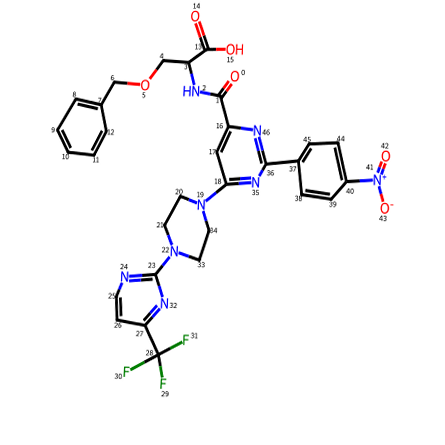 O=C(NC(COCc1ccccc1)C(=O)O)c1cc(N2CCN(c3nccc(C(F)(F)F)n3)CC2)nc(-c2ccc([N+](=O)[O-])cc2)n1